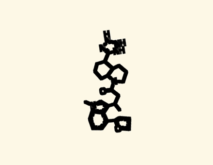 CC(CC(=O)N1CCCC2C(C3=NNNN3)CCCC21)c1cn(C)c2cccc(-c3ccco3)c12